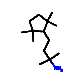 CC(C)(N)CCC1C(C)(C)CCC1(C)C